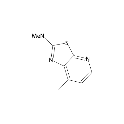 CNc1nc2c(C)ccnc2s1